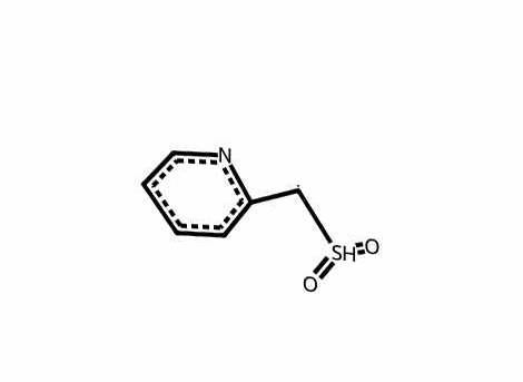 O=[SH](=O)[CH]c1ccccn1